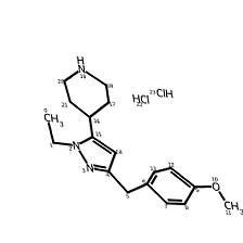 CCn1nc(Cc2ccc(OC)cc2)cc1C1CCNCC1.Cl.Cl